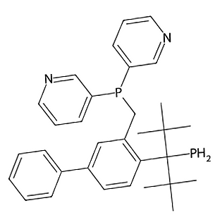 CC(C)(C)C(P)(c1ccc(-c2ccccc2)cc1CP(c1cccnc1)c1cccnc1)C(C)(C)C